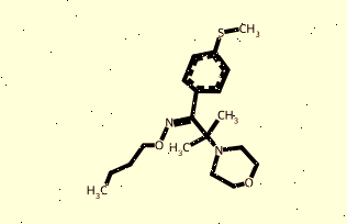 CCCCO/N=C(/c1ccc(SC)cc1)C(C)(C)N1CCOCC1